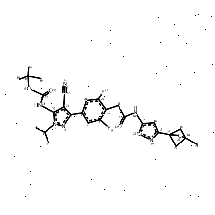 CC(C)n1nc(-c2cc(F)c(CC(=O)Nc3cc(C45CC(C)(C4)C5)no3)c(F)c2)c(C#N)c1NC(=O)OC(C)(C)C